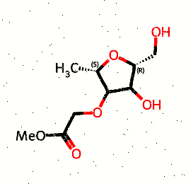 COC(=O)COC1C(O)[C@@H](CO)O[C@H]1C